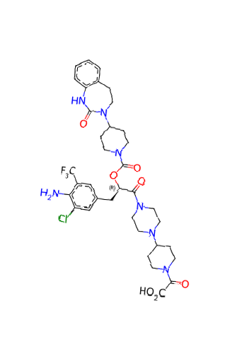 Nc1c(Cl)cc(C[C@@H](OC(=O)N2CCC(N3CCc4ccccc4NC3=O)CC2)C(=O)N2CCN(C3CCN(C(=O)C(=O)O)CC3)CC2)cc1C(F)(F)F